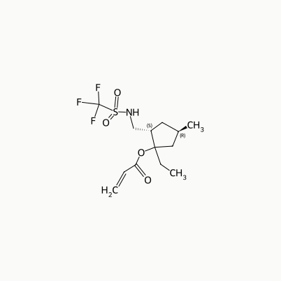 C=CC(=O)OC1(CC)C[C@H](C)C[C@H]1CNS(=O)(=O)C(F)(F)F